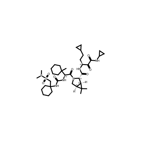 CN(C)S(=O)(=O)CC1(NC(=O)N[C@H](C(=O)N2C[C@H]3[C@@H]([C@H]2C(=O)N[C@@H](CCC2CC2)C(=O)C(=O)NC2CC2)C3(C)C)C2(C)CCCCC2)CCCCC1